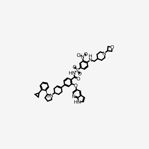 O=C(NS(=O)(=O)c1ccc(NCC2CCN(C3COC3)CC2)c([N+](=O)[O-])c1)c1ccc(C2=CCC(N3CCC[C@H]3c3ccccc3C3CC3)CC2)cc1Oc1cnc2[nH]ccc2c1